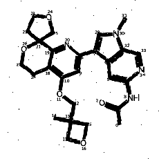 CC(=O)Nc1cc2c(-c3cc(OCC4(C)COC4)c4c(n3)C3(CCOC3)OCC4)cn(C)c2cn1